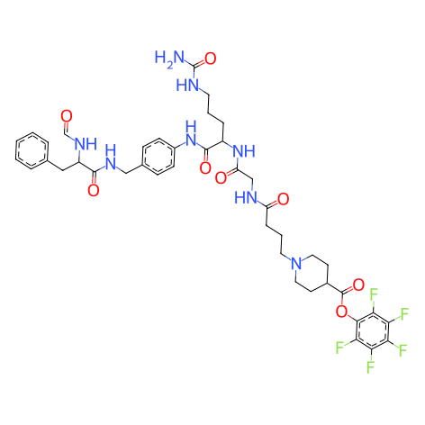 NC(=O)NCCCC(NC(=O)CNC(=O)CCCN1CCC(C(=O)Oc2c(F)c(F)c(F)c(F)c2F)CC1)C(=O)Nc1ccc(CNC(=O)C(Cc2ccccc2)NC=O)cc1